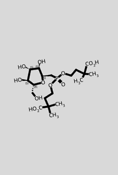 CC(C)(CCOP(=O)(C[C@H]1O[C@H](CO)[C@@H](O)[C@H](O)[C@@H]1O)OCCC(C)(C)C(=O)O)C(=O)O